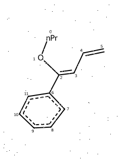 [CH2]CCOC(=CC=C)c1ccccc1